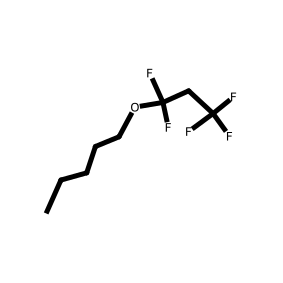 CCCCCOC(F)(F)CC(F)(F)F